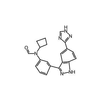 O=CN(c1cccc(-c2n[nH]c3ccc(-c4nc[nH]n4)cc23)c1)C1CCC1